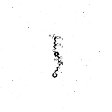 CC(C)=CCC/C(C)=C/COc1ccc(C(=O)Nc2nnc(SCCCN3CCCCC3)s2)cc1